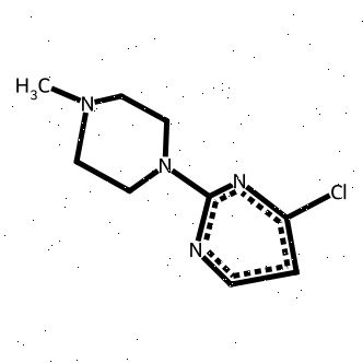 CN1CCN(c2nccc(Cl)n2)CC1